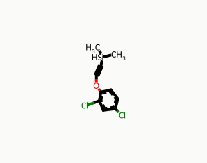 C[SiH](C)C#COc1ccc(Cl)cc1Cl